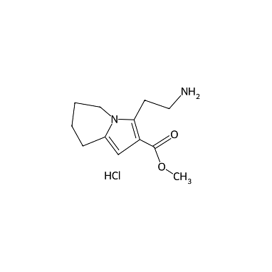 COC(=O)c1cc2n(c1CCN)CCCC2.Cl